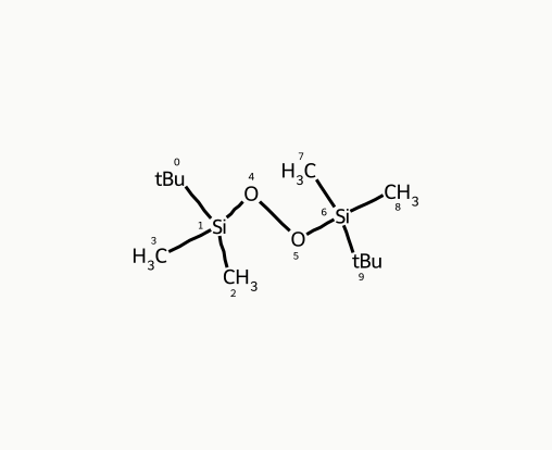 CC(C)(C)[Si](C)(C)OO[Si](C)(C)C(C)(C)C